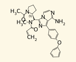 C=CC(=O)N(C)C(c1nc(-c2ccc(Oc3ccccc3)cc2)c2c(N)nccn12)[C@@H]1CCCN1C(C)=O